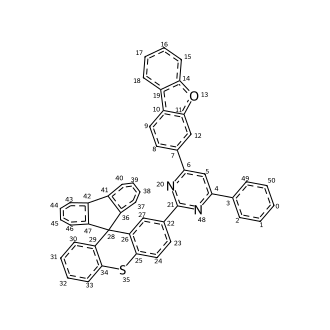 c1ccc(-c2cc(-c3ccc4c(c3)oc3ccccc34)nc(-c3ccc4c(c3)C3(c5ccccc5S4)c4ccccc4-c4ccccc43)n2)cc1